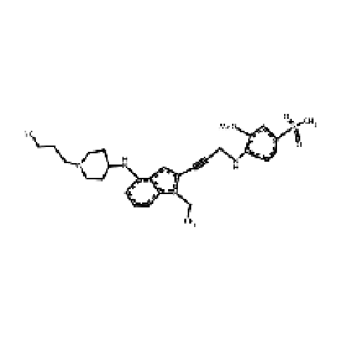 COc1cc(S(C)(=O)=O)ccc1NCC#Cc1cc2c(NC3CCN(CCCC#N)CC3)cccc2n1CC(F)(F)F